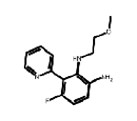 COCCNc1c(N)ccc(F)c1-c1ccccn1